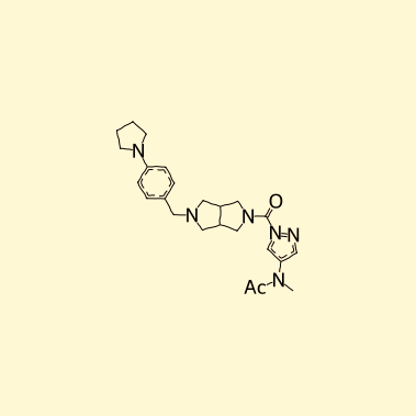 CC(=O)N(C)c1cnn(C(=O)N2CC3CN(Cc4ccc(N5CCCC5)cc4)CC3C2)c1